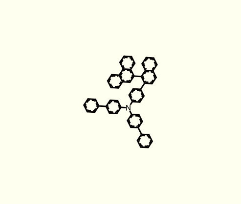 c1ccc(-c2ccc(N(c3ccc(-c4ccccc4)cc3)c3ccc(-c4ccc5ccccc5c4-c4cc5ccccc5c5ccccc45)cc3)cc2)cc1